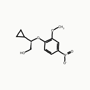 COc1cc([N+](=O)[O-])ccc1O[C@@H](CO)C1CC1